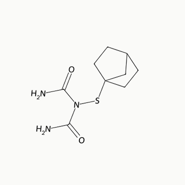 NC(=O)N(SC12CCC(CC1)C2)C(N)=O